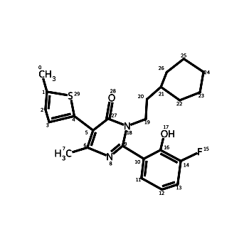 Cc1ccc(-c2c(C)nc(-c3cccc(F)c3O)n(CCC3CCCCC3)c2=O)s1